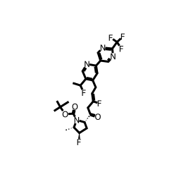 CC(F)c1cnc(-c2cnc(C(F)(F)F)nc2)cc1C/C=C(\F)CC(=O)[C@@H]1C[C@@H](F)[C@H](C)N1C(=O)OC(C)(C)C